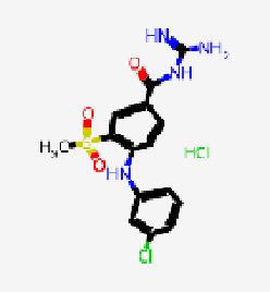 CS(=O)(=O)c1cc(C(=O)NC(=N)N)ccc1Nc1cccc(Cl)c1.Cl